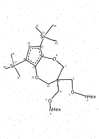 CCCCCCOCC1(COCCCCCC)COc2[c]([Sn]([CH3])([CH3])[CH3])s[c]([Sn]([CH3])([CH3])[CH3])c2OC1